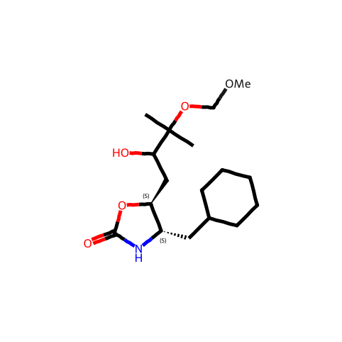 COCOC(C)(C)C(O)C[C@@H]1OC(=O)N[C@H]1CC1CCCCC1